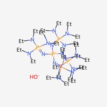 CCN(CC)P(=N[P+](N=P(N(CC)CC)(N(CC)CC)N(CC)CC)(N=P(N(CC)CC)(N(CC)CC)N(CC)CC)N=P(N(CC)CC)(N(CC)CC)N(CC)CC)(N(CC)CC)N(CC)CC.[OH-]